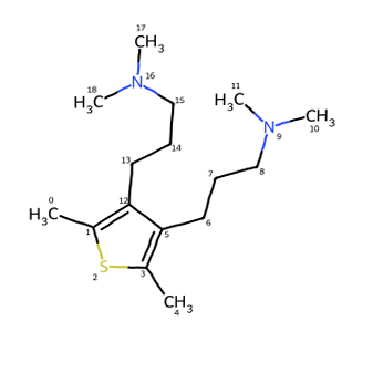 Cc1sc(C)c(CCCN(C)C)c1CCCN(C)C